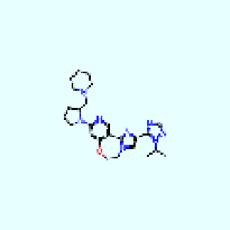 CC(C)n1ncnc1-c1cn2c(n1)-c1cnc(N3CCCC3CN3CCCCC3)cc1OCC2